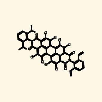 C=Cc1cccc(C=C)c1N1C(=O)c2c(Cl)c(Cl)c3c4c(Cl)c(Cl)c5c6c(c(Cl)c(Cl)c(c7c(Cl)c(Cl)c(c2c37)C1=O)c64)C(=O)N(c1c(C(C)C)cccc1C(C)C)C5=O